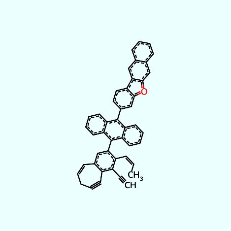 C#Cc1c2c(cc(-c3c4ccccc4c(-c4ccc5c(c4)oc4cc6ccccc6cc45)c4ccccc34)c1/C=C\C)C=CCC#C2